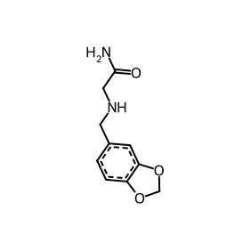 NC(=O)CNCc1ccc2c(c1)OCO2